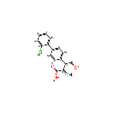 C=C(C(=O)O)C(C=O)c1ccc(-c2ccccc2Cl)cc1